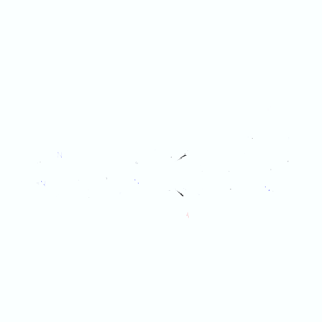 COc1ccc2nccc(C(O)CC[C@@H]3CCN(CCSc4cncnc4)C[C@@H]3C(=O)O)c2c1